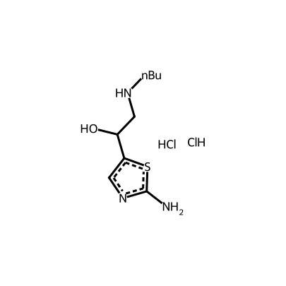 CCCCNCC(O)c1cnc(N)s1.Cl.Cl